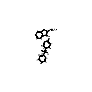 CNC1Cc2ccccc2C1Oc1ccc(C(C)(C)c2ccccc2)cc1